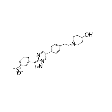 C[S+]([O-])c1cccc(-c2cnn3cc(-c4ccc(CCN5CCC(O)CC5)cc4)cnc23)c1